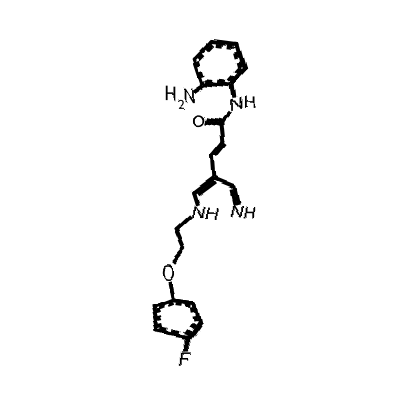 N=CC(=C\NCCOc1ccc(F)cc1)/C=C/C(=O)Nc1ccccc1N